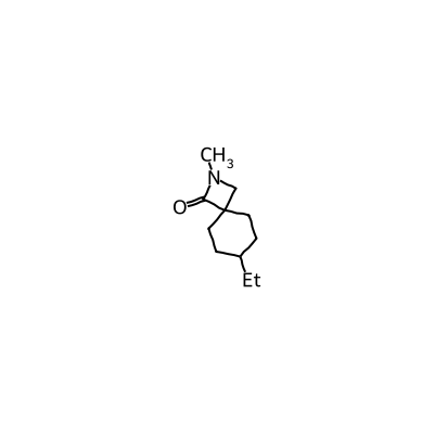 CCC1CCC2(CC1)CN(C)C2=O